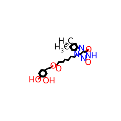 Cc1cc2nc3c(=O)[nH]c(=O)nc-3n(CCCCCCC(=O)OCCc3ccc(O)c(O)c3)c2cc1C